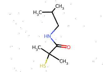 CC(C)CNC(=O)C(C)(C)S